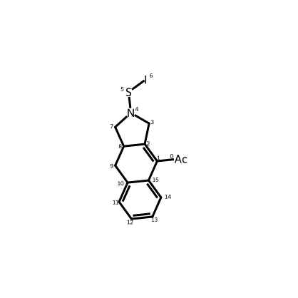 CC(=O)C1=C2CN(SI)CC2Cc2ccccc21